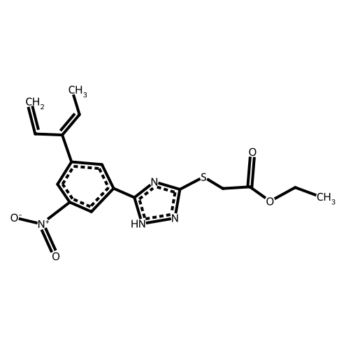 C=C/C(=C\C)c1cc(-c2nc(SCC(=O)OCC)n[nH]2)cc([N+](=O)[O-])c1